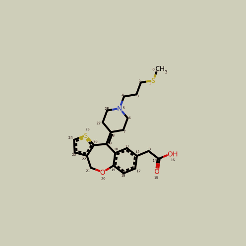 CSCCCN1CCC(=C2c3cc(CC(=O)O)ccc3OCc3ccsc32)CC1